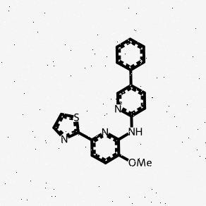 COc1ccc(-c2nccs2)nc1Nc1ccc(-c2ccccc2)cn1